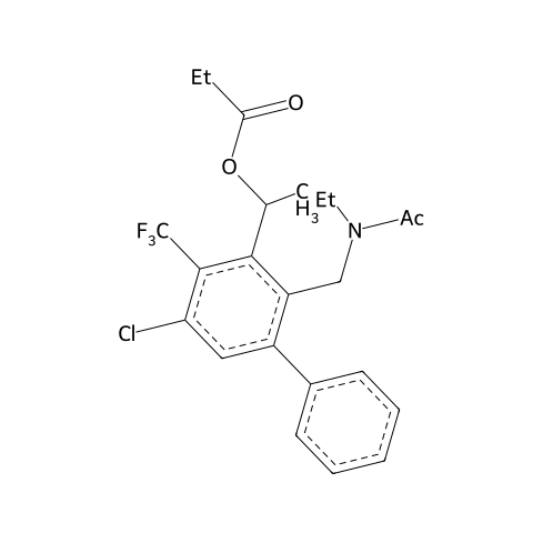 CCC(=O)OC(C)c1c(CN(CC)C(C)=O)c(-c2ccccc2)cc(Cl)c1C(F)(F)F